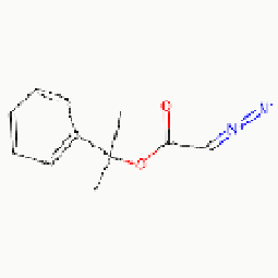 CC(C)(OC(=O)C=[N+]=[N-])c1ccccc1